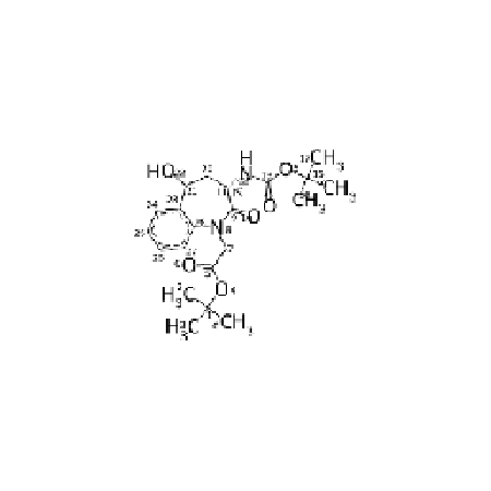 CC(C)(C)OC(=O)CN1C(=O)[C@@H](NC(=O)OC(C)(C)C)CC(O)c2ccccc21